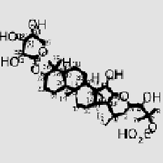 C[C@@H]1C[C@H]([C@H](O)C(C)(C)OC(=O)O)OC2C1[C@@]1(C)CC[C@@]34C[C@@]35CC[C@H](O[C@@H]3OC[C@@H](O)[C@H](O)[C@H]3O)C(C)(C)[C@@H]5CC[C@H]4[C@]1(C)[C@H]2O